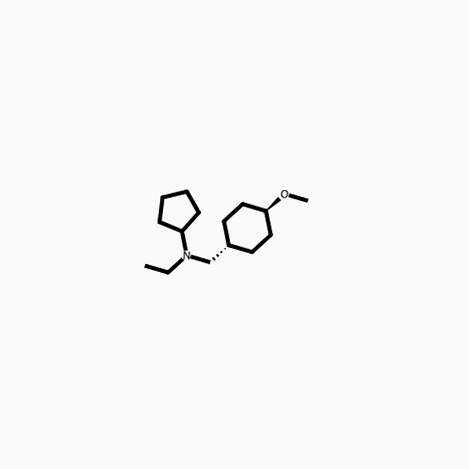 CCN(C[C@H]1CC[C@H](OC)CC1)C1CCCC1